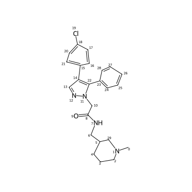 CN1CCCC(CNC(=O)Cn2ncc(-c3ccc(Cl)cc3)c2-c2ccccc2)C1